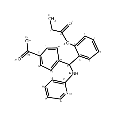 CCC(=O)Oc1ccccc1C(Nc1ccccn1)c1ccc(C(=O)O)cc1